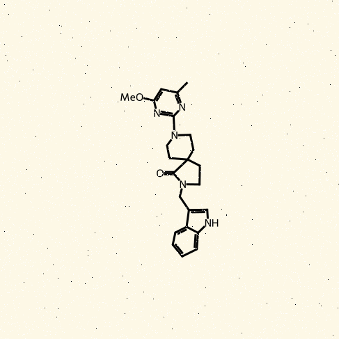 COc1cc(C)nc(N2CCC3(CCN(Cc4c[nH]c5ccccc45)C3=O)CC2)n1